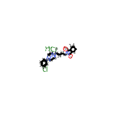 Cl.O=C1C2CCCCC2C(=O)N1CCCCN1CCN(c2cccc(Cl)c2)CC1